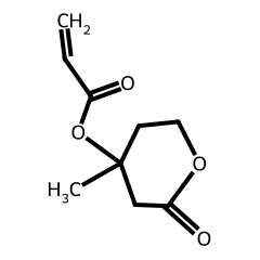 C=CC(=O)OC1(C)CCOC(=O)C1